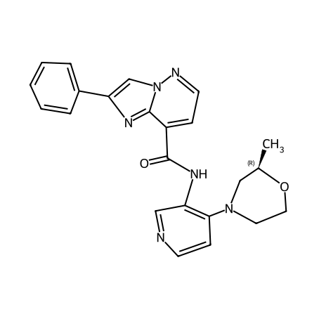 C[C@@H]1CN(c2ccncc2NC(=O)c2ccnn3cc(-c4ccccc4)nc23)CCO1